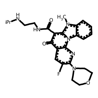 CC(C)NCCNC(=O)c1c(=O)c2cc(F)c(N3CCOCC3)nc2n2c3ccccc3n(C)c12